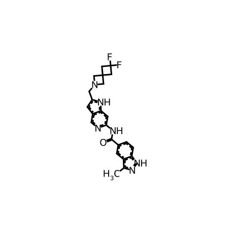 Cc1n[nH]c2ccc(C(=O)Nc3cc4[nH]c(CN5CC6(C5)CC(F)(F)C6)cc4cn3)cc12